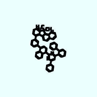 CC1(C)c2cccc(-c3cccc(-c4ccc(-c5nc(-c6ccccc6)cc(-c6ccccc6-c6ccccc6)n5)c5ccccc45)c3)c2-c2ccc3ccccc3c21